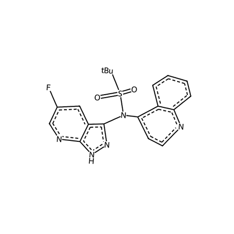 CC(C)(C)S(=O)(=O)N(c1ccnc2ccccc12)c1n[nH]c2ncc(F)cc12